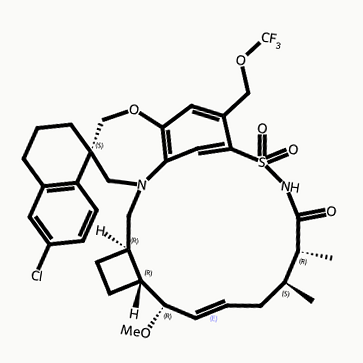 CO[C@H]1/C=C/C[C@H](C)[C@@H](C)C(=O)NS(=O)(=O)c2cc3c(cc2COC(F)(F)F)OC[C@]2(CCCc4cc(Cl)ccc42)CN3C[C@@H]2CC[C@H]21